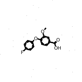 COc1cc(C(=O)O)ccc1Oc1ccc(F)cc1